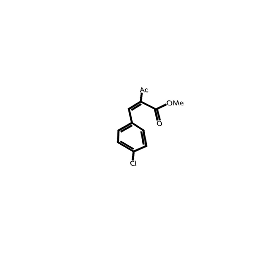 COC(=O)C(=Cc1ccc(Cl)cc1)C(C)=O